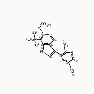 CP(C)(=O)c1c(CC(=O)O)ccc2c(-c3nc(Cl)ncc3C(F)(F)F)c[nH]c12